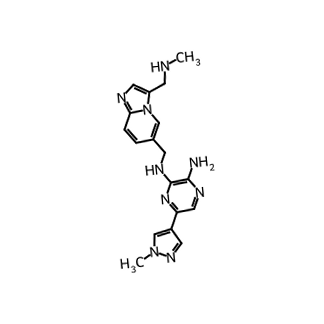 CNCc1cnc2ccc(CNc3nc(-c4cnn(C)c4)cnc3N)cn12